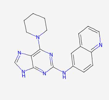 c1cnc2ccc(Nc3nc(N4CCCCC4)c4nc[nH]c4n3)cc2c1